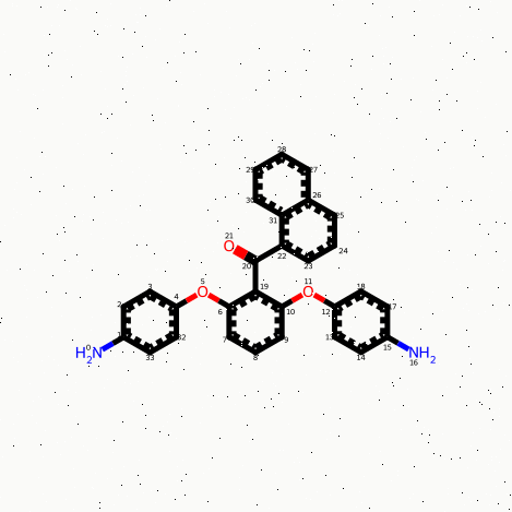 Nc1ccc(Oc2cccc(Oc3ccc(N)cc3)c2C(=O)c2cccc3ccccc23)cc1